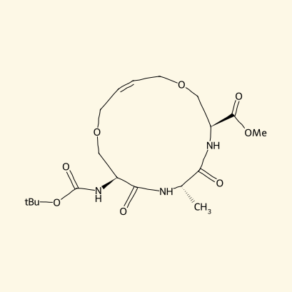 COC(=O)[C@@H]1COCC=CCOC[C@H](NC(=O)OC(C)(C)C)C(=O)N[C@@H](C)C(=O)N1